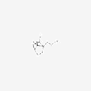 CC1(C)C2CCC1(CCN)C(Cl)C2